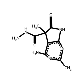 Cc1nc(N)c2c(n1)NC(=O)C2(C)C(=O)NN